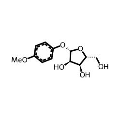 COc1ccc(O[C@@H]2O[C@H](CO)[C@@H](O)[C@H]2O)cc1